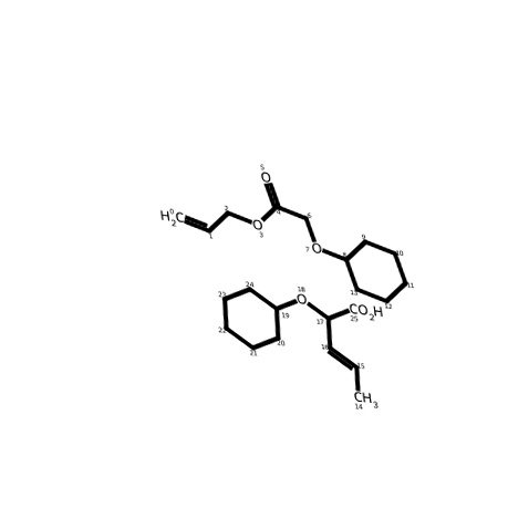 C=CCOC(=O)COC1CCCCC1.CC=CC(OC1CCCCC1)C(=O)O